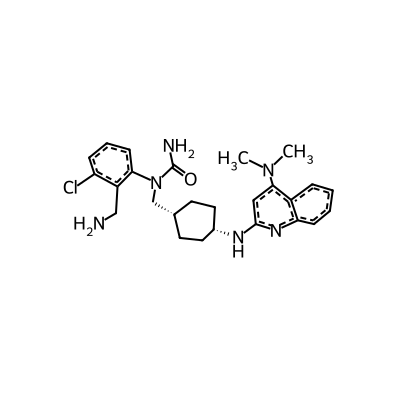 CN(C)c1cc(N[C@H]2CC[C@@H](CN(C(N)=O)c3cccc(Cl)c3CN)CC2)nc2ccccc12